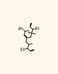 C=CC(CC)C(C)CC(=CC(C)C(C)C)CC(C)(C)C(C=C)CC